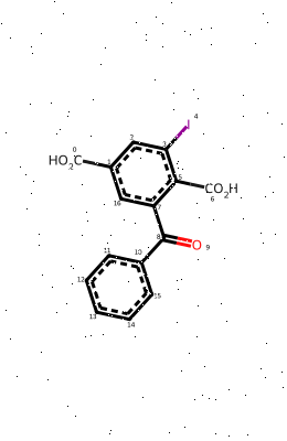 O=C(O)c1cc(I)c(C(=O)O)c(C(=O)c2ccccc2)c1